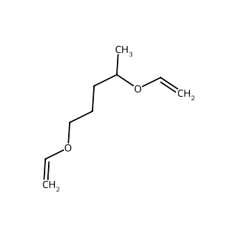 C=COCCCC(C)OC=C